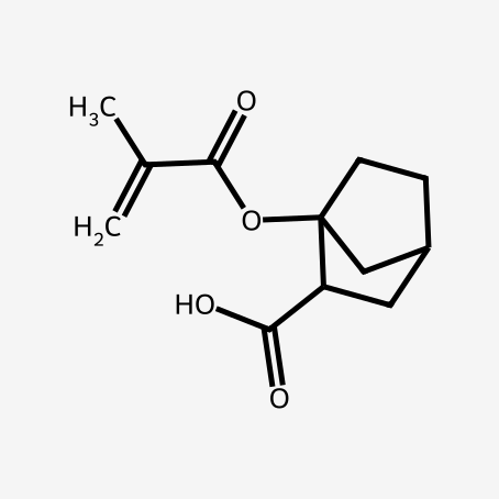 C=C(C)C(=O)OC12CCC(CC1C(=O)O)C2